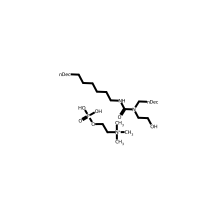 CCCCCCCCCCCCCCCCNC(=O)N(CCO)CCCCCCCCCCC.C[N+](C)(C)CCOP(=O)(O)O